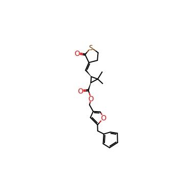 CC1(C)[C@H](/C=C2\CCSC2=O)[C@@H]1C(=O)OCc1coc(Cc2ccccc2)c1